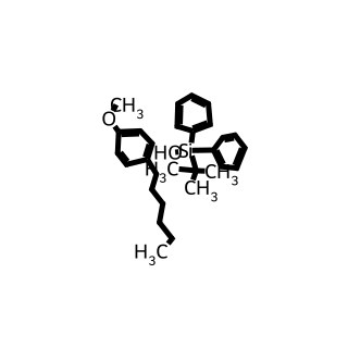 CC(C)(C)[Si](O)(c1ccccc1)c1ccccc1.CCCCCCc1ccc(OC)cc1